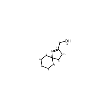 OCC1=CC2(CCCCC2)CC1